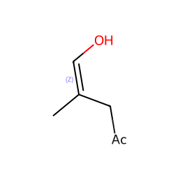 CC(=O)C/C(C)=C\O